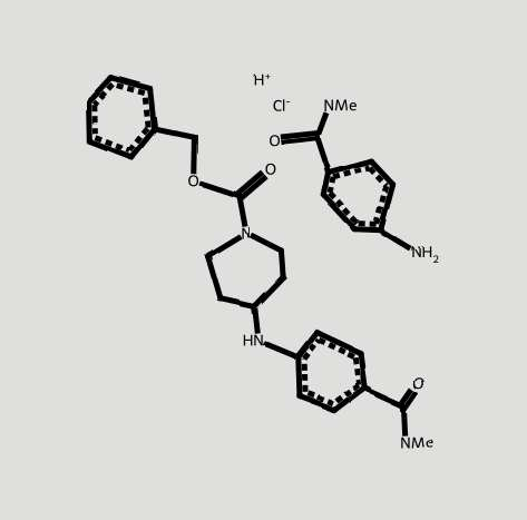 CNC(=O)c1ccc(N)cc1.CNC(=O)c1ccc(NC2CCN(C(=O)OCc3ccccc3)CC2)cc1.[Cl-].[H+]